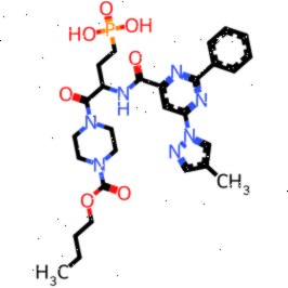 CCCCOC(=O)N1CCN(C(=O)C(CCP(=O)(O)O)NC(=O)c2cc(-n3cc(C)cn3)nc(-c3ccccc3)n2)CC1